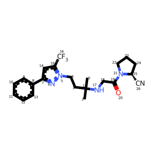 CC(C)(CCn1nc(-c2ccccc2)cc1C(F)(F)F)NCC(=O)N1CCC[C@H]1C#N